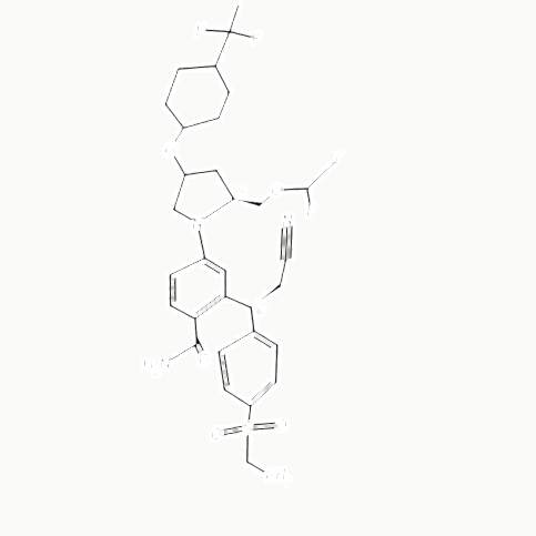 CCS(=O)(=O)c1ccc([C@H](CC#N)c2cc(N3CC(OC4CCC(C(F)(F)F)CC4)C[C@H]3COC(F)F)ccc2C(N)=O)cc1